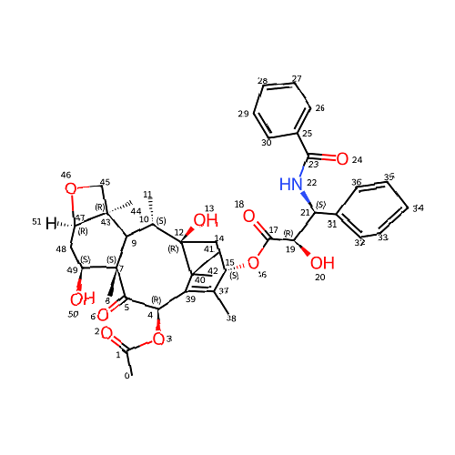 CC(=O)O[C@H]1C(=O)[C@@]2(C)C([C@H](C)[C@]3(O)C[C@H](OC(=O)[C@H](O)[C@@H](NC(=O)c4ccccc4)c4ccccc4)C(C)=C1C3(C)C)[C@]1(C)CO[C@@H]1C[C@@H]2O